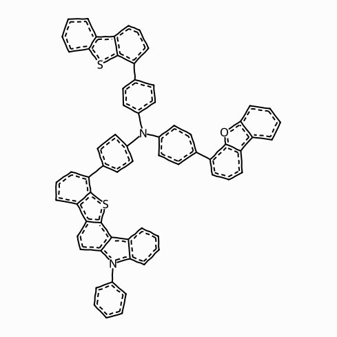 c1ccc(-n2c3ccccc3c3c4sc5c(-c6ccc(N(c7ccc(-c8cccc9c8oc8ccccc89)cc7)c7ccc(-c8cccc9c8sc8ccccc89)cc7)cc6)cccc5c4ccc32)cc1